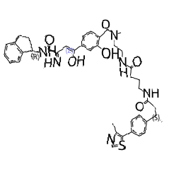 Cc1ncsc1-c1ccc([C@@H](C)CC(=O)NCCCC(=O)NCCN(C)C(=O)c2ccc(/C(O)=C/C(=N)C(=O)N[C@@H]3CCc4ccccc43)cc2O)cc1